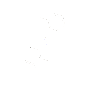 CCc1ccccc1/C=N/c1cccc(Cl)c1C